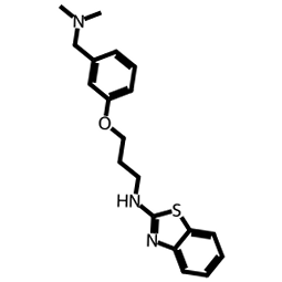 CN(C)Cc1cccc(OCCCNc2nc3ccccc3s2)c1